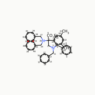 CCOC(=O)C(CN(Cc1ccccc1)Cc1ccccc1)(c1cc(C)cc(C)c1)N(Cc1ccccc1)Cc1ccccc1